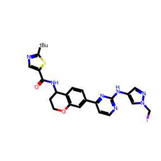 CC(C)(C)c1ncc(C(=O)NC2CCOc3cc(-c4ccnc(Nc5cnn(CI)c5)n4)ccc32)s1